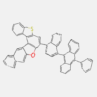 c1ccc(-c2c3ccccc3c(-c3ccc(-c4cc5sc6ccccc6c5c5c4oc4cc6ccccc6cc45)c4ccccc34)c3ccccc23)cc1